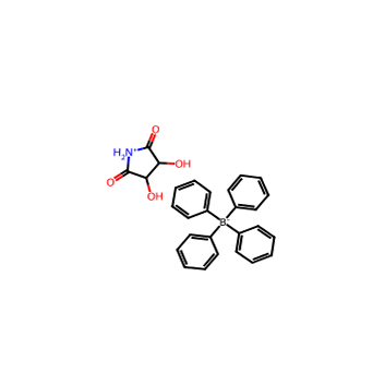 O=C1[NH2+]C(=O)C(O)C1O.c1ccc([B-](c2ccccc2)(c2ccccc2)c2ccccc2)cc1